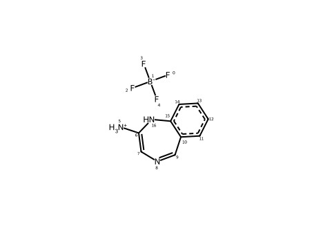 F[B-](F)(F)F.[NH3+]C1=CN=Cc2ccccc2N1